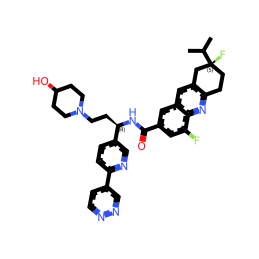 CC(C)[C@]1(F)CCc2nc3c(F)cc(C(=O)N[C@H](CCN4CCC(O)CC4)c4ccc(-c5ccnnc5)nc4)cc3cc2C1